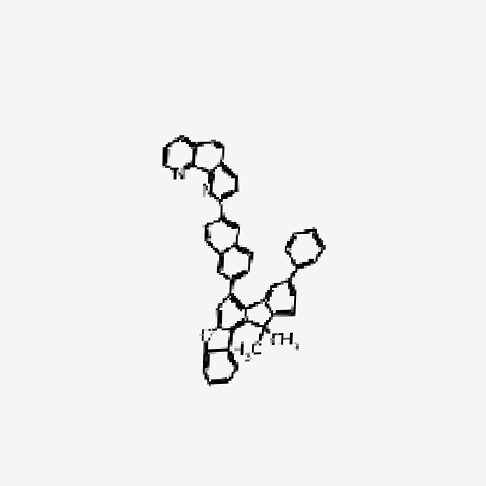 CC1(C)c2ccc(-c3ccccc3)cc2-c2c(-c3ccc4cc(-c5ccc6ccc7cccnc7c6n5)ccc4c3)cc3oc4ccccc4c3c21